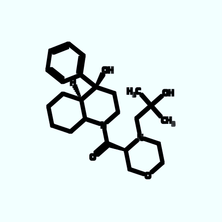 CC(C)(O)CN1CCOC[C@H]1C(=O)N1CC[C@@](O)(c2ccccc2)[C@@H]2CCCCC21